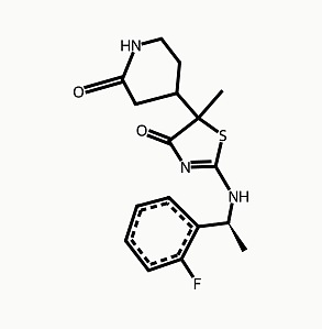 C[C@H](NC1=NC(=O)C(C)(C2CCNC(=O)C2)S1)c1ccccc1F